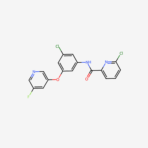 O=C(Nc1cc(Cl)cc(Oc2cncc(F)c2)c1)c1cccc(Cl)n1